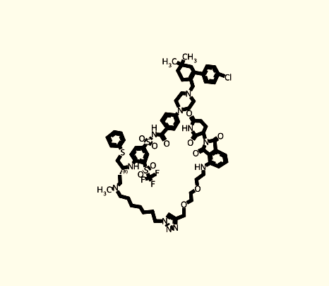 CN(CCCCCCCn1cc(COCCOCCNc2cccc3c2C(=O)N(C2CCC(=O)NC2=O)C3=O)nn1)CC[C@H](CSc1ccccc1)Nc1ccc(S(=O)(=O)NC(=O)c2ccc(N3CCN(CC4=C(c5ccc(Cl)cc5)CC(C)(C)CC4)CC3)cc2)cc1S(=O)(=O)C(F)(F)F